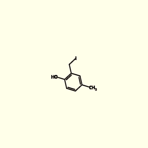 Cc1ccc(O)c(CI)c1